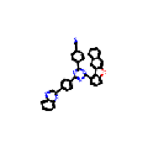 N#Cc1ccc(-c2nc(-c3ccc(-c4cnc5ccccc5n4)cc3)nc(-c3cccc4oc5cc6ccccc6cc5c34)n2)cc1